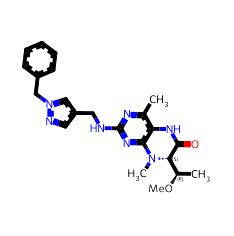 CO[C@H](C)[C@H]1C(=O)Nc2c(C)nc(NCc3cnn(Cc4ccccc4)c3)nc2N1C